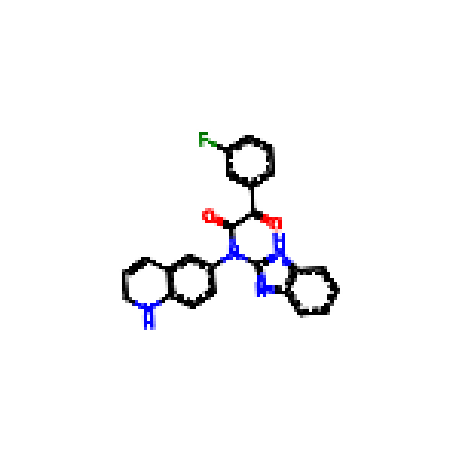 O=C(C(=O)N(c1ccc2c(c1)C=CCN2)c1nc2ccccc2[nH]1)c1cccc(F)c1